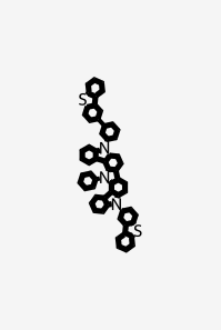 c1ccc(-n2c3c(ccc4c3c3ccccc3n4-c3cccc(-c4ccc5sc6ccccc6c5c4)c3)c3ccc4c(c5ccccc5n4-c4ccc5sc6ccccc6c5c4)c32)cc1